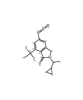 CC(C1CC1)N1Cc2cc(N=[N+]=[N-])cc(C(F)(F)F)c2C1=O